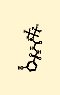 CC(NC(=O)NNS(=O)(=O)c1cccc(O)c1)(C(F)(F)F)C(F)(F)F